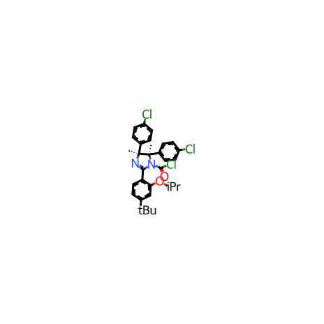 CC(C)Oc1cc(C(C)(C)C)ccc1C1=N[C@@](C)(c2ccc(Cl)cc2)[C@@](C)(c2ccc(Cl)cc2)N1C(=O)Cl